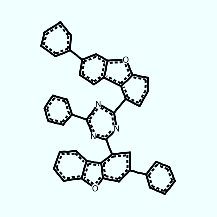 c1ccc(-c2ccc3c(c2)oc2cccc(-c4nc(-c5ccccc5)nc(-c5cc(-c6ccccc6)cc6oc7ccccc7c56)n4)c23)cc1